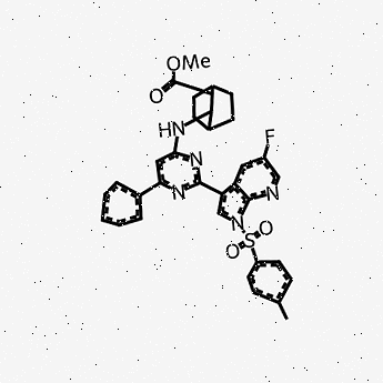 COC(=O)C1C2CCC(CC2)C1Nc1cc(-c2ccccc2)nc(-c2cn(S(=O)(=O)c3ccc(C)cc3)c3ncc(F)cc23)n1